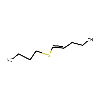 N#CCCC=CSCCCC#N